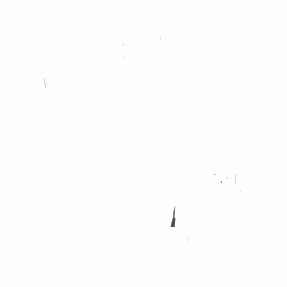 CCOc1cc([C@H](C)N)ccc1F